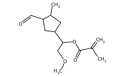 C=C(C)C(=O)OC(COC)C1CC(C)C(C=O)C1